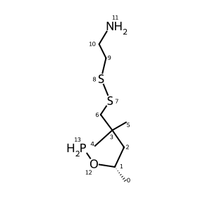 C[C@@H](CC(C)(C)CSSCCN)OP